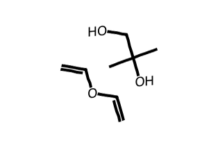 C=COC=C.CC(C)(O)CO